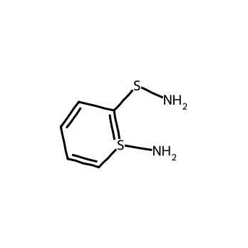 NSC1=S(N)C=CC=C1